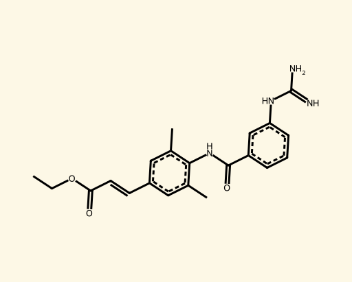 CCOC(=O)/C=C/c1cc(C)c(NC(=O)c2cccc(NC(=N)N)c2)c(C)c1